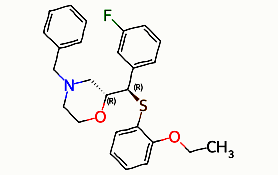 CCOc1ccccc1S[C@H](c1cccc(F)c1)[C@H]1CN(Cc2ccccc2)CCO1